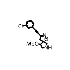 COC1CNCC12CC(C#Cc1cccc(Cl)c1)=NO2